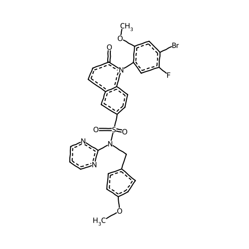 COc1ccc(CN(c2ncccn2)S(=O)(=O)c2ccc3c(ccc(=O)n3-c3cc(F)c(Br)cc3OC)c2)cc1